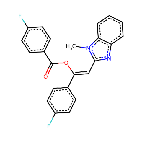 Cn1c(C=C(OC(=O)c2ccc(F)cc2)c2ccc(F)cc2)nc2ccccc21